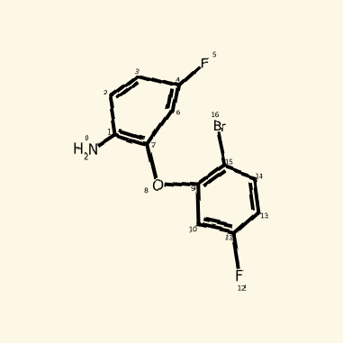 Nc1ccc(F)cc1Oc1cc(F)ccc1Br